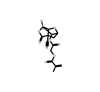 C=C(C)C(=O)OCC(=O)OC1C2CC3(C#N)C(=O)O[C@@H]1C3O2